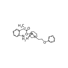 C[C@H](C(=O)O[C@H]1C[N+]2(CCOc3ccccc3)CCC1CC2)c1ccccc1N